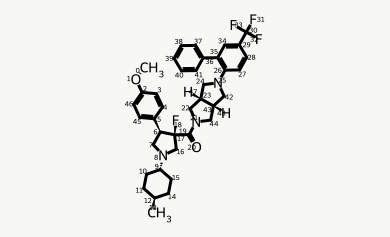 COc1ccc([C@@H]2CN([C@H]3CC[C@H](C)CC3)C[C@@]2(F)C(=O)N2C[C@@H]3CN(c4ccc(C(F)(F)F)cc4-c4ccccc4)C[C@@H]3C2)cc1